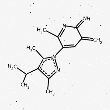 C=C1C=C(n2nc(C)c(C(C)C)c2C)C(C)=NC1=N